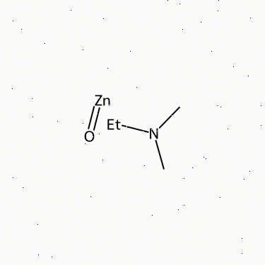 [CH2]CN(C)C.[O]=[Zn]